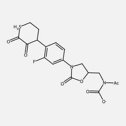 CC(=O)N(CC1CN(c2ccc(C3CC[SH4]C(=O)C3=O)c(F)c2)C(=O)O1)C([O])=O